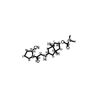 CN(C)C(=O)O[C@H]1C[C@H]2CC(NCC(=O)N3CCC[C@H]3C#N)C[C@H]2C1